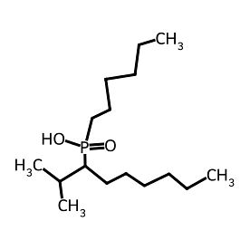 CCCCCCC(C(C)C)P(=O)(O)CCCCCC